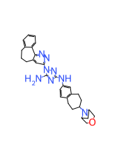 Nc1nc(Nc2ccc3c(c2)CC[C@@H](N2C4COCC2C4)CC3)nn1-c1cc2c(nn1)-c1ccccc1CCC2